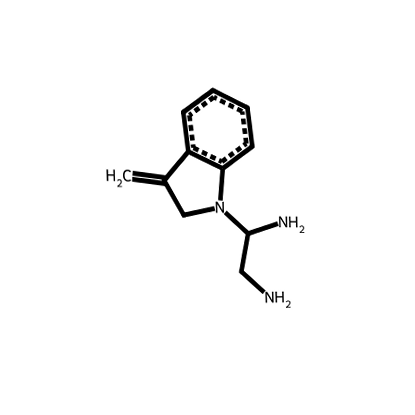 C=C1CN(C(N)CN)c2ccccc21